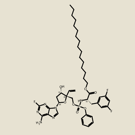 C=C[C@]1(COP(=O)(N[C@@H](Cc2cc(F)cc(F)c2)C(=O)OCCCCCCCCCCCCCCCC)Oc2ccccc2)O[C@@H](n2cnc3c(N)nc(F)nc32)C[C@@H]1O